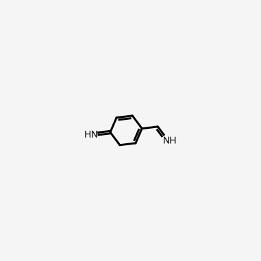 N=CC1=CCC(=N)C=C1